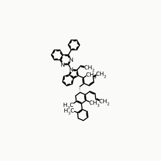 C=C/C=C\C1=C(C)C(C2=C(C)CCC=C2)=C(C)C[C@@H]1CC(/C=C\C=C)=C(/C)c1c(C=C)n(-c2nc(-c3ccccc3)c3ccccc3n2)c2ccccc12